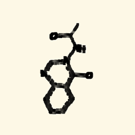 CC(=O)Nn1cnc2ccccc2c1=O